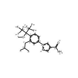 COC(c1ccc(-n2cc(C(N)=O)cn2)cc1CC(C)C)(C(F)(F)F)C(F)(F)F